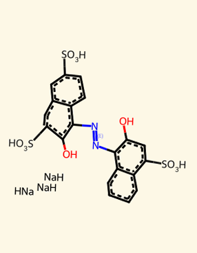 O=S(=O)(O)c1ccc2c(/N=N/c3c(O)cc(S(=O)(=O)O)c4ccccc34)c(O)c(S(=O)(=O)O)cc2c1.[NaH].[NaH].[NaH]